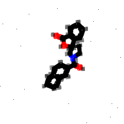 O=C1O[C@]2(CCN(C(=O)c3ccc4ccccc4c3)C2)c2ccccc21